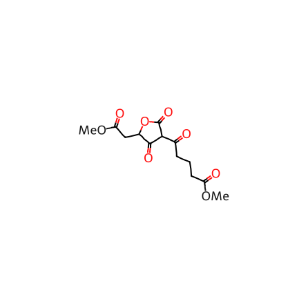 COC(=O)CCCC(=O)C1C(=O)OC(CC(=O)OC)C1=O